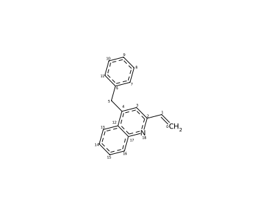 C=Cc1cc(Cc2ccccc2)c2ccccc2n1